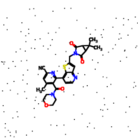 Cc1cc(C#N)nc(-c2ccnc3cc(CN4C(=O)C5C(C4=O)C5(C)C)sc23)c1C(=O)N1CCOCC1